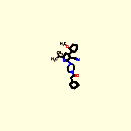 COc1ccccc1-c1cc(C(C)C)nc(N2CCN(C(=O)Cc3ccccc3)CC2)c1C#N